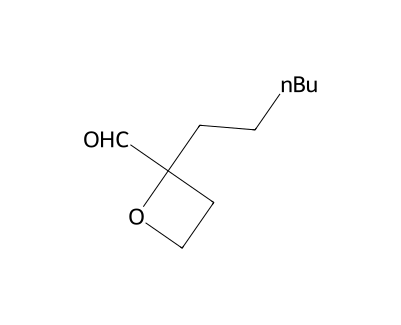 CCCCCCC1(C=O)CCO1